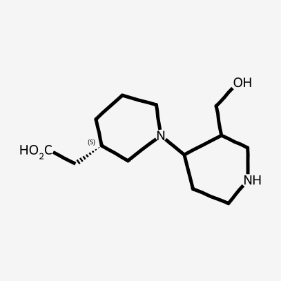 O=C(O)C[C@@H]1CCCN(C2CCNCC2CO)C1